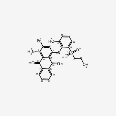 Nc1c(Br)cc(Sc2c(O)cccc2S(=O)(=O)CCO)c2c1C(=O)c1ccccc1C2=O